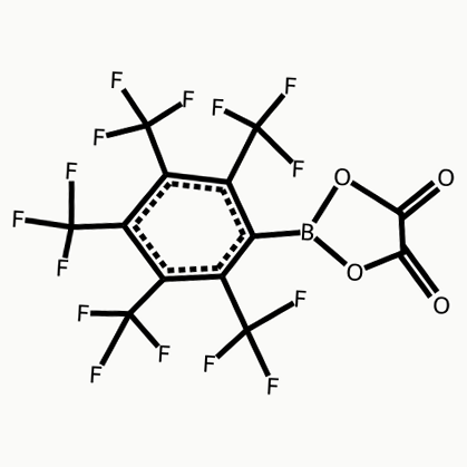 O=C1OB(c2c(C(F)(F)F)c(C(F)(F)F)c(C(F)(F)F)c(C(F)(F)F)c2C(F)(F)F)OC1=O